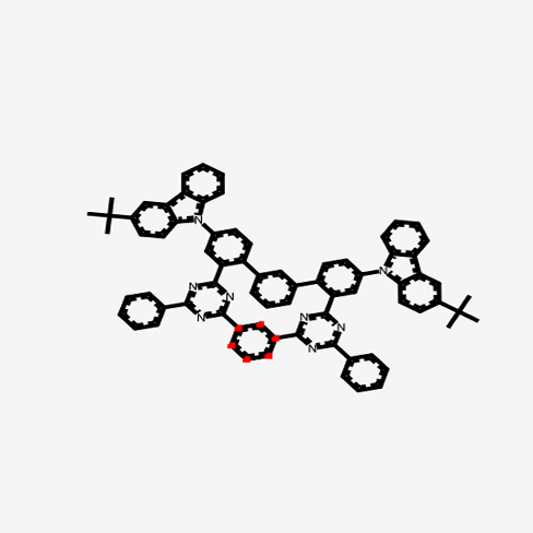 CC(C)(C)c1ccc2c(c1)c1ccccc1n2-c1ccc(-c2cccc(-c3ccc(-n4c5ccccc5c5cc(C(C)(C)C)ccc54)cc3-c3nc(-c4ccccc4)nc(-c4ccccc4)n3)c2)c(-c2nc(-c3ccccc3)nc(-c3ccccc3)n2)c1